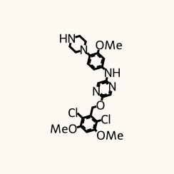 COc1cc(Nc2cnc(OCc3c(Cl)c(OC)cc(OC)c3Cl)cn2)ccc1N1CCNCC1